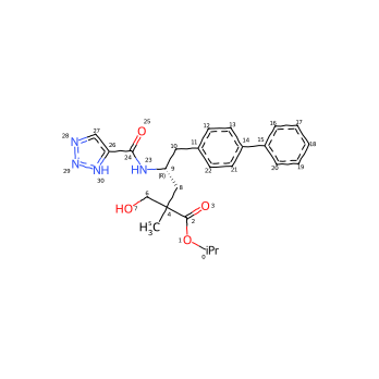 CC(C)OC(=O)C(C)(CO)C[C@@H](Cc1ccc(-c2ccccc2)cc1)NC(=O)c1cnn[nH]1